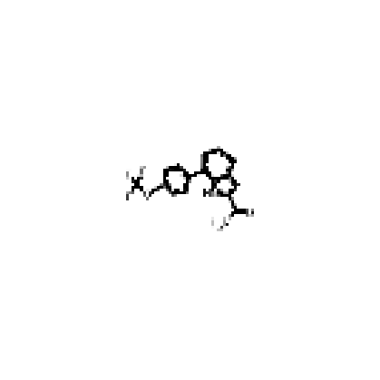 NC(=O)c1cc2cccc(-c3ccc(OC(F)(F)F)cc3)c2[nH]1